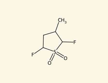 CC1CC(F)S(=O)(=O)C1F